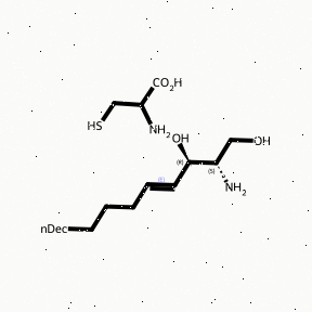 CCCCCCCCCCCCC/C=C/[C@@H](O)[C@@H](N)CO.NC(CS)C(=O)O